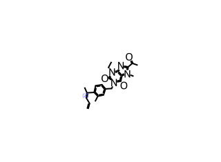 C=C/C=C(/C)c1ccc(Cn2c(=O)c3c(nc(C(C)=O)n3C)n(CC)c2=O)cc1C